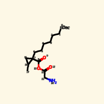 CCCCCCCCCCCCCCCCC1(C(=O)OC(=O)CN)CC1C